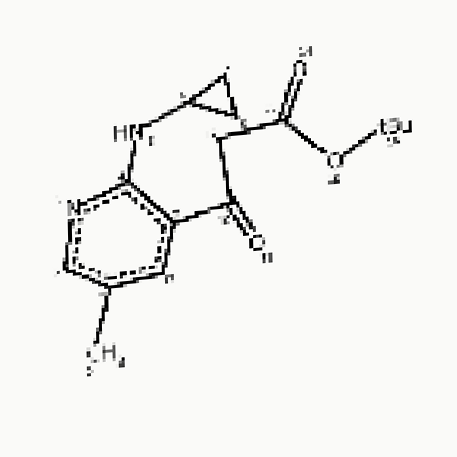 Cc1cnc(NC2CC2)c(C(=O)CC(=O)OC(C)(C)C)c1